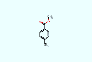 [CH2]OC(=O)c1ccc(C)cc1